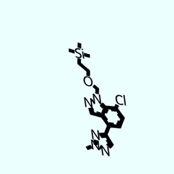 Cn1ncc(-c2ccc(Cl)c3c2cnn3COCC[Si](C)(C)C)n1